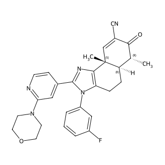 C[C@H]1C(=O)C(C#N)=C[C@@]2(C)c3nc(-c4ccnc(N5CCOCC5)c4)n(-c4cccc(F)c4)c3CC[C@H]12